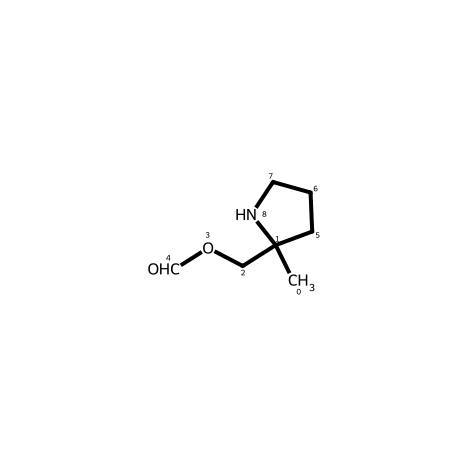 CC1(COC=O)CCCN1